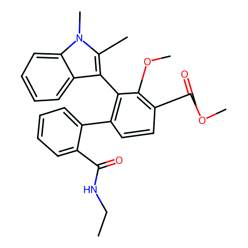 CCNC(=O)c1ccccc1-c1ccc(C(=O)OC)c(OC)c1-c1c(C)n(C)c2ccccc12